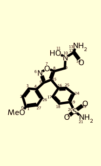 COc1ccc(-c2noc(CN(O)C(N)=O)c2-c2ccc(S(N)(=O)=O)cc2)cc1